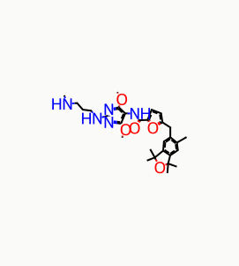 CNCCCNc1nc(OC)c(NC(=O)c2ccc(Cc3cc4c(cc3C)C(C)(C)OC4(C)C)o2)c(OC)n1